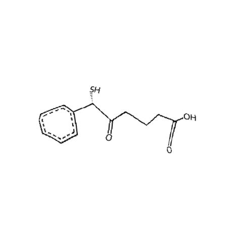 O=C(O)CCCC(=O)[C@@H](S)c1ccccc1